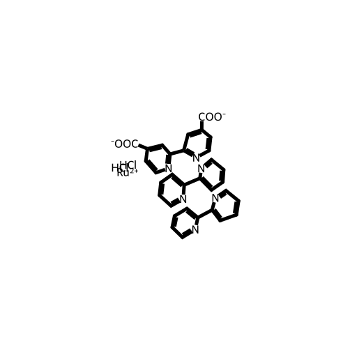 Cl.Cl.O=C([O-])c1ccnc(-c2cc(C(=O)[O-])ccn2)c1.[Ru+2].c1ccc(-c2ccccn2)nc1.c1ccc(-c2ccccn2)nc1